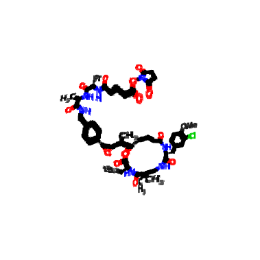 COc1ccc(C[C@H]2NC(=O)/C=C/C[C@@H]([C@H](C)[C@H]3O[C@@H]3c3ccc(CNC(=O)C(C)NC(=O)[C@@H](NC(=O)CCCC(=O)ON4C(=O)CCC4=O)C(C)C)cc3)OC(=O)[C@H](CC(C)(C)C)NC(=O)C(C)(C)CNC2=O)cc1Cl